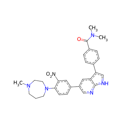 CN1CCCN(c2ccc(-c3cnc4[nH]cc(-c5ccc(C(=O)N(C)C)cc5)c4c3)cc2[N+](=O)[O-])CC1